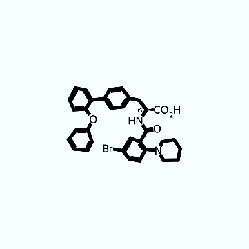 O=C(N[C@@H](Cc1ccc(-c2ccccc2Oc2ccccc2)cc1)C(=O)O)c1cc(Br)ccc1N1CCCCC1